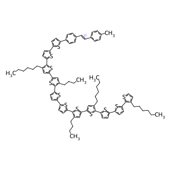 CCCCCCc1ccsc1-c1ccc(-c2ccc(-c3sc(-c4cc(CCCC)c(-c5ccc(-c6ccc(-c7sc(-c8cc(CCCCCC)c(-c9ccc(-c%10ccc(-c%11ccc(/C=C/c%12ccc(C)cc%12)cc%11)s%10)s9)s8)cc7CCCC)s6)s5)s4)cc3CCCCCC)s2)s1